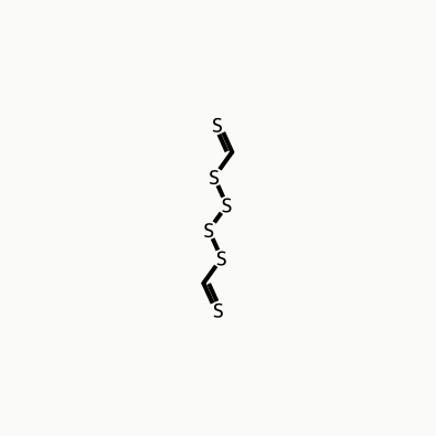 S=CSSSSC=S